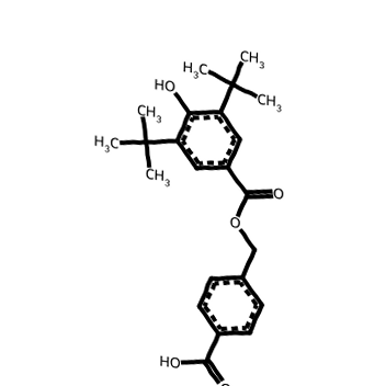 CC(C)(C)c1cc(C(=O)OCc2ccc(C(=O)O)cc2)cc(C(C)(C)C)c1O